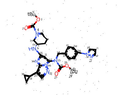 CC(C)(C)OC(=O)N1CCC[C@H](Nc2cc(N(Cc3ccc(-n4cccn4)cc3)C(=O)OC(C)(C)C)n3ncc(C4CC4)c3n2)C1